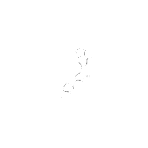 Cc1cc(-c2[nH]nc(-c3ccc(N)nc3)c2C(C)C)cn2ncnc12